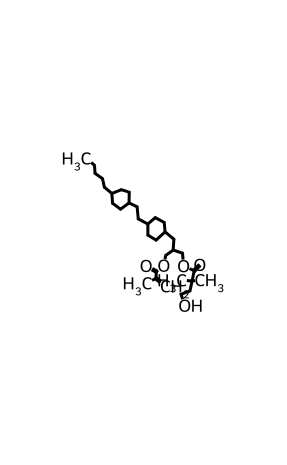 C=C(C)C(=O)OCC(COC(=O)C(C)(C)CCO)CC1CCC(CCC2CCC(CCCCC)CC2)CC1